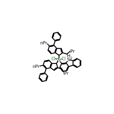 CCCc1ccc2c(c1-c1ccccc1)C=C(CC(C)C)[CH]2[Zr]([Cl])([Cl])([c]1cccc2c1[SiH2]c1ccccc1-2)[CH]1C(CC(C)C)=Cc2c1ccc(CCC)c2-c1ccccc1